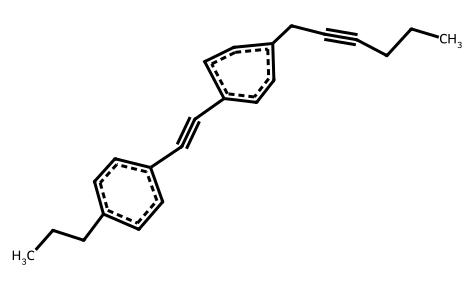 CCCC#CCc1ccc(C#Cc2ccc(CCC)cc2)cc1